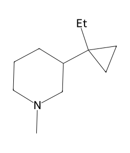 CCC1(C2CCCN(C)C2)CC1